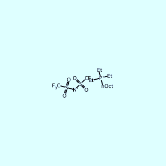 CCCCCCCC[P+](CC)(CC)CC.O=S(=O)([N-]S(=O)(=O)C(F)(F)F)C(F)(F)F